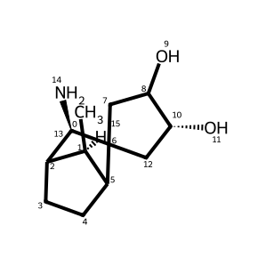 C[C@@H]1C2CCC1C1(CC(O)[C@H](O)C1)[C@@H]2N